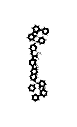 Cc1oc2c(ccc3c4cc5ccc(N(c6ccccc6)c6cccc7c6oc6c(-c8ccccc8)cccc67)cc5cc4oc32)c1/C=C1/C=CC(N(c2ccccc2)c2cccc3c2oc2c(-c4ccccc4)cccc23)=CC1